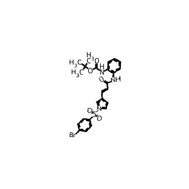 CC(C)(C)OC(=O)Nc1ccccc1NC(=O)C=Cc1ccn(S(=O)(=O)c2ccc(Br)cc2)c1